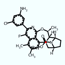 Cc1nc2c3c(nc(-c4cc(N)cc(Cl)c4)c(F)c3c1C)O[C@@H](C)[C@@H]1[C@@H]3CC[C@H](CN21)N3C(=O)OC(C)(C)C